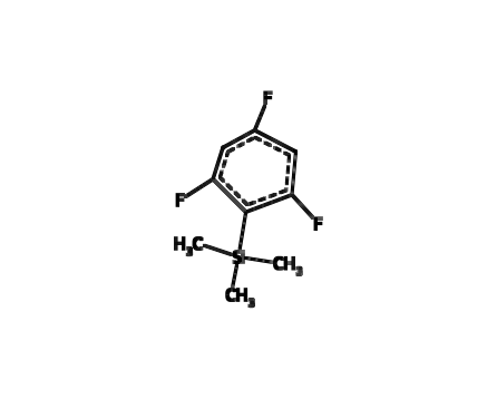 C[Si](C)(C)c1c(F)cc(F)cc1F